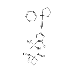 C[C@@]1(c2sc(C#CC3(c4ccccc4)CCCC3)cc2Cl)CS(=O)(=O)C2(CCC2)C(=N)N1